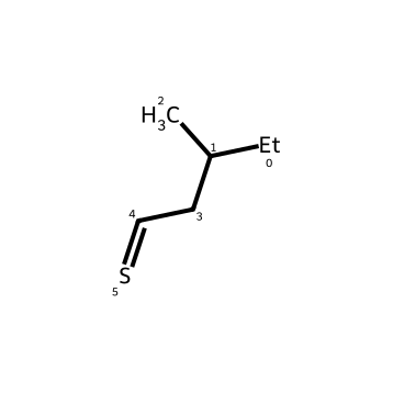 CCC(C)CC=S